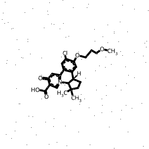 COCCCOc1cc2c(cc1Cl)-c1cc(=O)c(C(=O)O)cn1C1[C@H]2CCC1(C)C